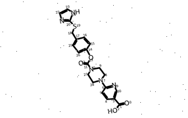 O=C(O)c1ccc(N2CCN(C(=O)Oc3ccc(CSc4ncc[nH]4)cc3)CC2)nc1